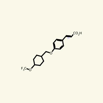 O=C(O)/C=C/c1ccc(OCC2CCC(OC(F)(F)F)CC2)cc1